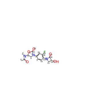 CC(=O)N(C)C1CN(c2ccc(N3CC(O)C3=O)c(F)c2)C(=O)O1